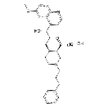 COc1ccc2nccc(C(O)CC[C@@H]3CCN(CCCc4ccccc4)C[C@@H]3C(=O)O)c2c1.Cl.Cl